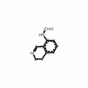 O=CNc1cccc2c1C=NCC2